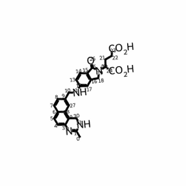 CC1=Nc2ccc3ccc(CNc4ccc5c(c4)CN([C@@H](CCC(=O)O)C(=O)O)C5=O)cc3c2CN1